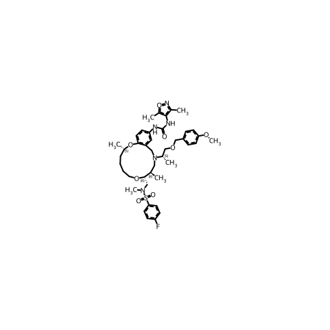 COc1ccc(COC[C@H](C)N2Cc3cc(NC(=O)Nc4c(C)noc4C)ccc3O[C@@H](C)CCCCO[C@@H](CN(C)S(=O)(=O)c3ccc(F)cc3)[C@H](C)C2)cc1